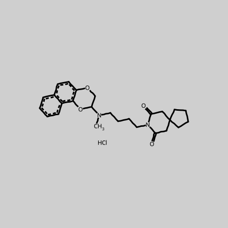 CN(CCCCN1C(=O)CC2(CCCC2)CC1=O)C1COc2ccc3ccccc3c2O1.Cl